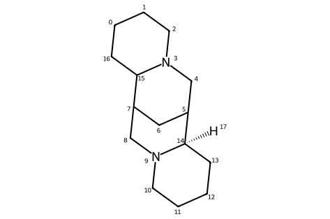 C1CCN2CC3CC(CN4CCCC[C@H]34)C2C1